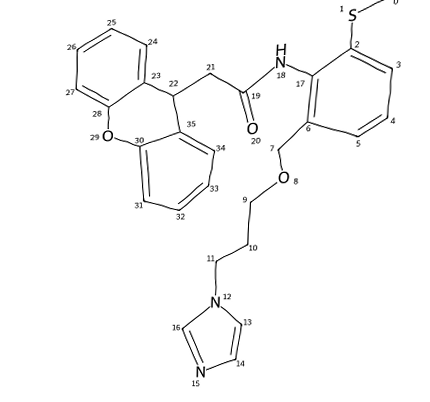 CSc1cccc(COCCCn2ccnc2)c1NC(=O)CC1c2ccccc2Oc2ccccc21